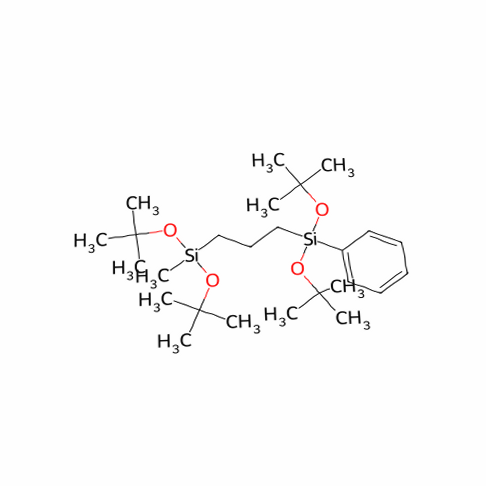 CC(C)(C)O[Si](C)(CCC[Si](OC(C)(C)C)(OC(C)(C)C)c1ccccc1)OC(C)(C)C